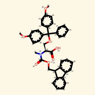 COc1ccc(C(OC[C@@H](C(=O)O)N(C)C(=O)OCC2c3ccccc3-c3ccccc32)(c2ccccc2)c2ccc(OC)cc2)cc1